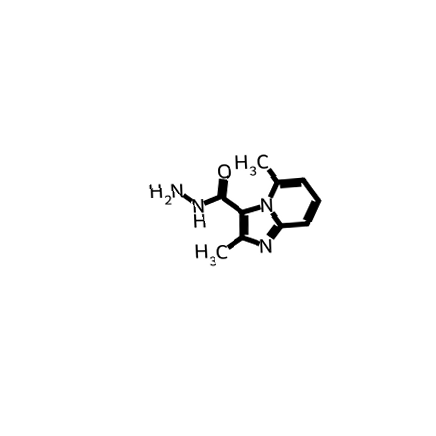 Cc1nc2cccc(C)n2c1C(=O)NN